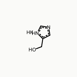 OCc1cnc[nH]1.[KH]